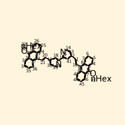 CCCCCCOc1c2ccccc2c(/C=C/c2ccnc(-c3cc(/C=C/c4c5ccccc5c(OCCCCCC)c5ccccc45)ccn3)c2)c2ccccc12